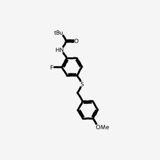 COc1ccc(CSc2ccc(NC(=O)C(C)(C)C)c(F)c2)cc1